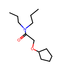 CCCN(CCC)C(=O)COC1CCCC1